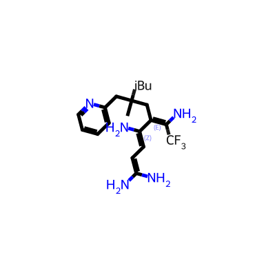 CCC(C)C(C)(CC(/C(N)=C/C=C(N)N)=C(\N)C(F)(F)F)Cc1ccccn1